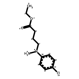 CCOC(=O)CCCN(N)c1ccc(Cl)cc1